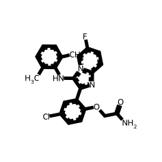 Cc1cccc(C)c1Nc1c(-c2cc(Cl)ccc2OCC(N)=O)nc2ccc(F)cn12